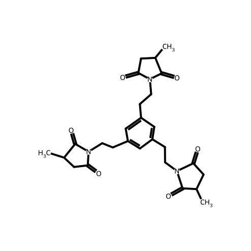 CC1CC(=O)N(CCc2cc(CCN3C(=O)CC(C)C3=O)cc(CCN3C(=O)CC(C)C3=O)c2)C1=O